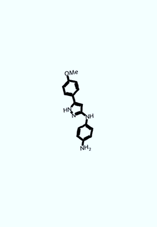 COc1ccc(-c2cc(Nc3ccc(N)cc3)n[nH]2)cc1